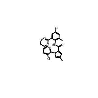 Cc1cc(C(=O)Nc2c(C)cc(Cl)cc2C2=NOCCO2)n(-c2ncccc2Cl)c1